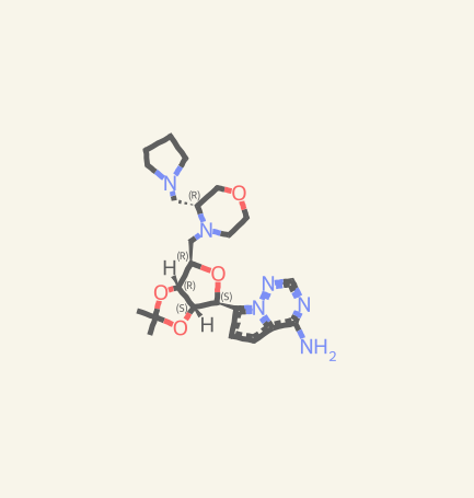 CC1(C)O[C@@H]2[C@H](O1)[C@@H](CN1CCOC[C@H]1CN1CCCC1)O[C@H]2c1ccc2c(N)ncnn12